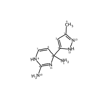 Cc1cc(C2(N)C=CNC(N)=N2)[nH]n1